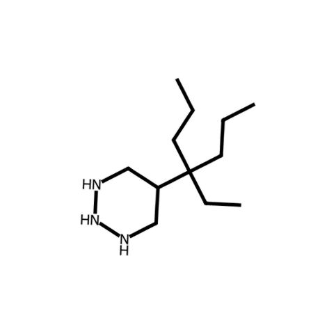 CCCC(CC)(CCC)C1CNNNC1